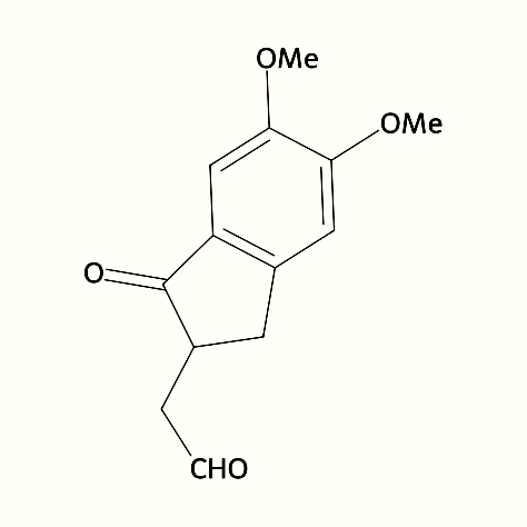 COc1cc2c(cc1OC)C(=O)C(CC=O)C2